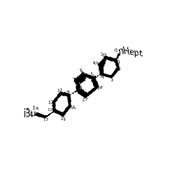 CCCCCCC[C@H]1CC[C@H](c2ccc([C@H]3CC[C@H](CC(C)CC)CC3)cc2)CC1